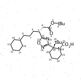 CC(C)(C)OC(=O)C[C@@H](CCCC1CCCCC1)c1nc([C@@]2(C(C)(C)C)CCCCN2C(=O)O)no1